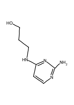 Nc1nccc(NCCCO)n1